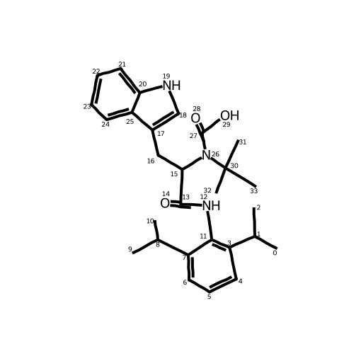 CC(C)c1cccc(C(C)C)c1NC(=O)C(Cc1c[nH]c2ccccc12)N(C(=O)O)C(C)(C)C